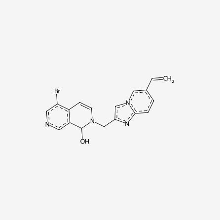 C=Cc1ccc2nc(CN3C=Cc4c(Br)cncc4C3O)cn2c1